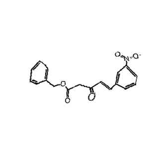 O=C(C=Cc1cccc([N+](=O)[O-])c1)CC(=O)OCc1ccccc1